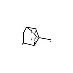 C[C]1CC2CCCC1CC2